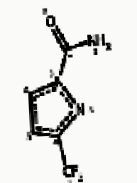 NC(=O)n1c[c]c(C(F)(F)F)n1